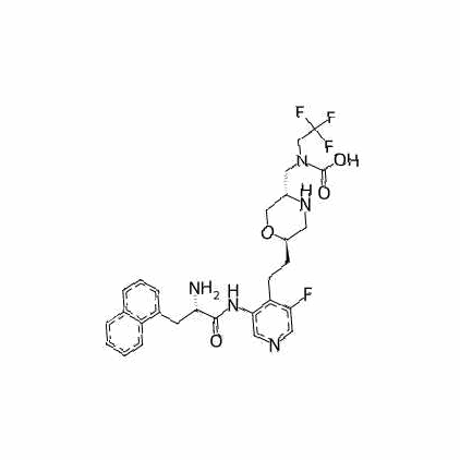 N[C@@H](Cc1cccc2ccccc12)C(=O)Nc1cncc(F)c1CC[C@@H]1CN[C@@H](CN(CC(F)(F)F)C(=O)O)CO1